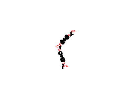 CCC(O)COc1ccc(C(C)(C)c2ccc(OCC(O)COc3ccc(C(C)(C)c4ccc(OCC(C)CO)cc4)cc3)cc2)cc1